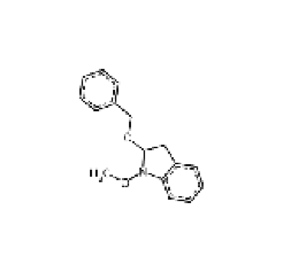 CON1c2ccccc2CC1OCc1ccccc1